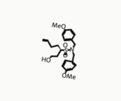 C=CCC[C@H](CCO)S(=O)(=O)N(Cc1ccc(OC)cc1)Cc1ccc(OC)cc1